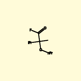 CCCOC(C)(C(=O)F)C(C)C